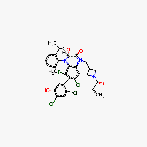 C=CC(=O)N1CC(Cn2c(=O)c(=O)n(-c3c(C)cccc3C(C)C)c3c(F)c(-c4cc(O)c(Cl)cc4Cl)c(Cl)cc32)C1